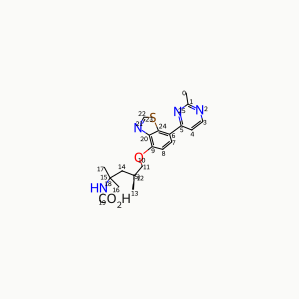 Cc1nccc(-c2ccc(OC[C@@H](C)CC(C)(C)NC(=O)O)c3ncsc23)n1